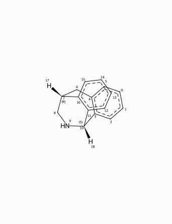 c1ccc2c(c1)C[C@H]1CN[C@@H]2c2ccccc21